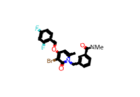 CNC(=O)c1cccc(Cn2c(C)cc(OCc3ccc(F)cc3F)c(Br)c2=O)c1